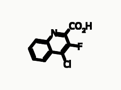 O=C(O)c1nc2ccccc2c(Cl)c1F